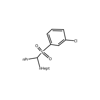 CCCCCCCC(CCC)S(=O)(=O)c1cccc(Cl)c1